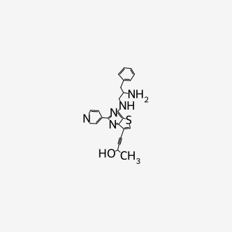 CC(O)C#Cc1csc2c(NCC(N)Cc3ccccc3)nc(-c3ccncc3)nc12